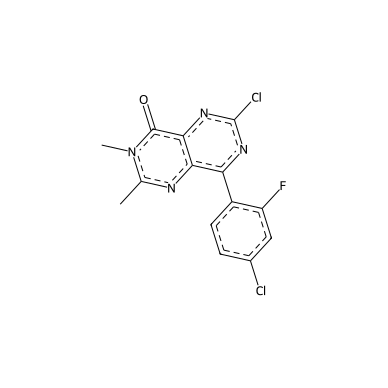 Cc1nc2c(-c3ccc(Cl)cc3F)nc(Cl)nc2c(=O)n1C